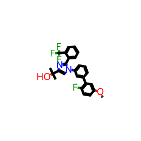 COc1ccc(F)c(-c2cccc(-n3cc(C(C)(C)O)nc3-c3ccccc3C(F)(F)F)c2)c1